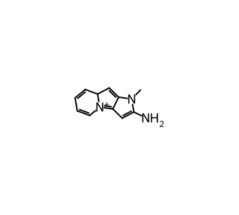 Cn1c(N)cc2c1=CC1C=CC=C[N+]=21